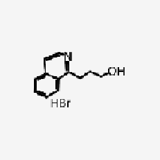 Br.OCCCc1nccc2ccccc12